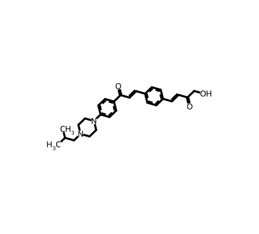 CC(C)CN1CCN(c2ccc(C(=O)/C=C/c3ccc(/C=C/C(=O)CO)cc3)cc2)CC1